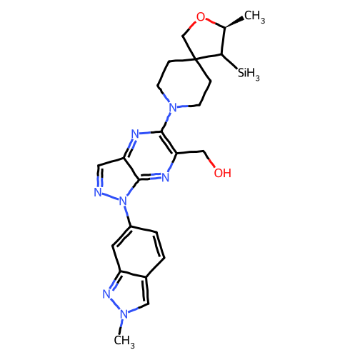 C[C@@H]1OCC2(CCN(c3nc4cnn(-c5ccc6cn(C)nc6c5)c4nc3CO)CC2)C1[SiH3]